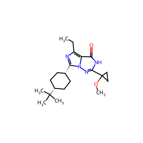 CCc1nc([C@H]2CC[C@@H](C(C)(C)C)CC2)n2nc(C3(OC)CC3)[nH]c(=O)c12